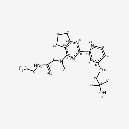 CN(CC(=O)NCC(F)(F)F)c1nc(-c2cc(OCC(C)(C)O)ccn2)nc2c1CCC2